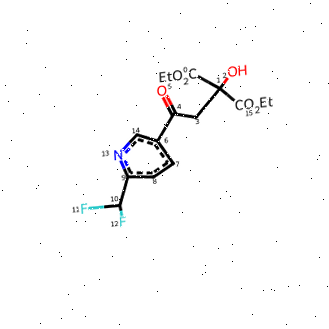 CCOC(=O)C(O)(CC(=O)c1ccc(C(F)F)nc1)C(=O)OCC